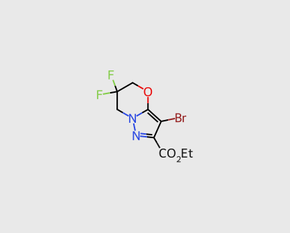 CCOC(=O)c1nn2c(c1Br)OCC(F)(F)C2